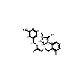 CC(=NOCc1c(C)cccc1-n1nnn(C)c1=O)OCc1cccc(Cl)c1